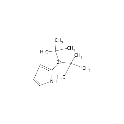 C[C](C)(C)[Zr]([c]1ccc[nH]1)[C](C)(C)C